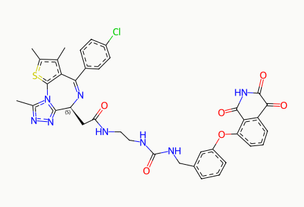 Cc1sc2c(c1C)C(c1ccc(Cl)cc1)=N[C@@H](CC(=O)NCCNC(=O)NCc1cccc(Oc3cccc4c3C(=O)NC(=O)C4=O)c1)c1nnc(C)n1-2